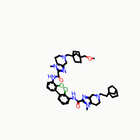 COCC12CCC(CN3CCc4c(nc(C(=O)Nc5cccc(-c6cccc(NC(=O)c7nc8c(n7C)CCN(CCC79CCC(CC7)C9)C8)c6Cl)c5Cl)n4C)C3)(CC1)C2